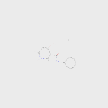 Cc1cc(OCCC(C)C)c(C(=O)Nc2ccccc2)c(C)[n+]1[O-]